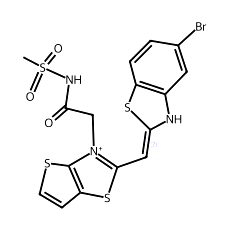 CS(=O)(=O)NC(=O)C[n+]1c(/C=C2/Nc3cc(Br)ccc3S2)sc2ccsc21